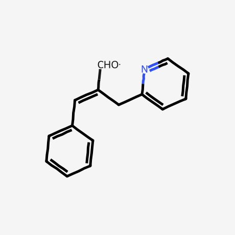 O=[C]C(=Cc1ccccc1)Cc1ccccn1